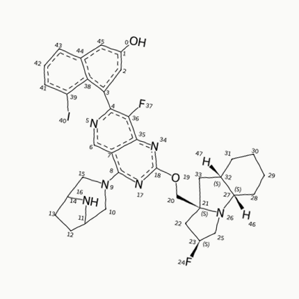 Oc1cc(-c2ncc3c(N4CC5CCC(C4)N5)nc(OC[C@]45C[C@H](F)CN4[C@H]4CCCC[C@H]4C5)nc3c2F)c2c(I)cccc2c1